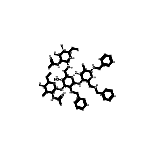 CCC1O[C@@H](O[C@@H]2C(OCc3ccccc3)[C@H](O[C@@H]3C(COCc4ccccc4)O[C@@H](OCc4ccccc4)C(C)[C@H]3C)OC(CO[C@H]3OC(CC)[C@@H](C)[C@H](C)C3OC(C)=O)[C@H]2O)[C@@H](OC(C)=O)C(C)[C@H]1C